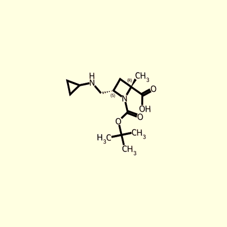 CC(C)(C)OC(=O)N1[C@H](CNC2CC2)C[C@]1(C)C(=O)O